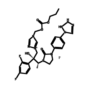 CCCOC(=O)OCn1cn[n+](C[C@](O)(c2ccc(F)cc2F)[C@@H](C)N2CCN(c3ccc(N4C=NNN4)cc3)C2=O)c1.[I-]